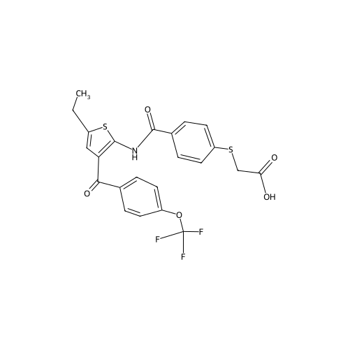 CCc1cc(C(=O)c2ccc(OC(F)(F)F)cc2)c(NC(=O)c2ccc(SCC(=O)O)cc2)s1